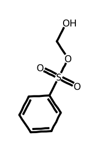 O=S(=O)(OCO)c1ccccc1